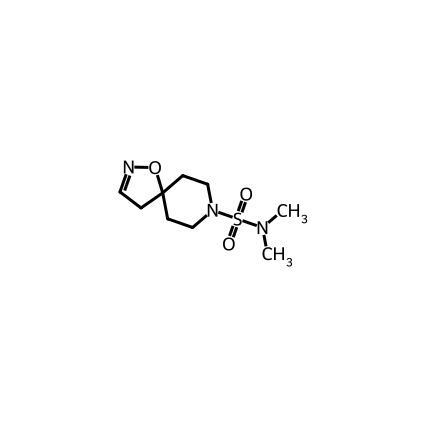 CN(C)S(=O)(=O)N1CCC2(CC=NO2)CC1